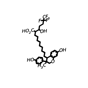 CC1(c2ccc(O)cc2)COc2cc(O)ccc2C1CCCCCCCCCC(C(=O)O)C(O)CCC(F)(F)C(F)(F)F